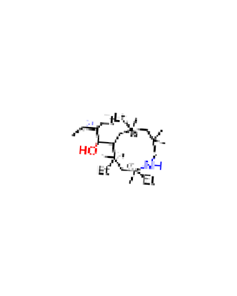 C/C=C(/CC)C(O)C1C[C@@](C)(CC)CC(C)(C)CN[C@@](C)(CC)C[C@@]1(C)CC